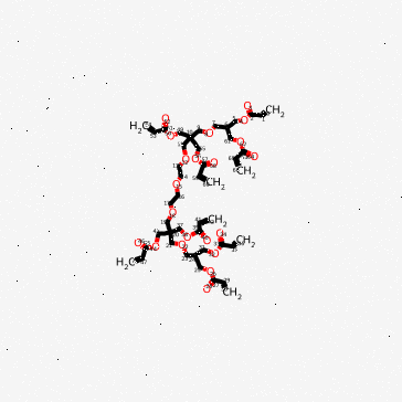 C=CC(=O)OCC(COCC(COCCOCCOCC(COCC(COC(=O)C=C)COC(=O)C=C)(COC(=O)C=C)COC(=O)C=C)(COC(=O)C=C)COC(=O)C=C)COC(=O)C=C